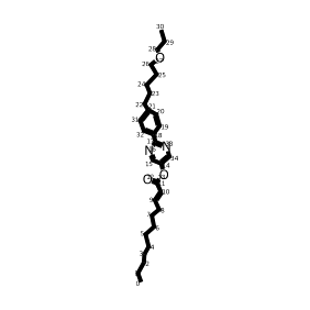 CCCCCCCCCC=CC(=O)Oc1cnc(-c2ccc(CCCCCOCCC)cc2)nc1